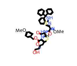 CO/N=C(\C(=O)N[C@@H]1C(=O)N2C(C(=O)OCc3ccc(OC)cc3)=C(C/C=C/CO)CS[C@@H]12)c1csc(NC(c2ccccc2)(c2ccccc2)c2ccccc2)n1